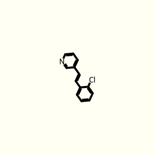 Clc1ccccc1C=Cc1cccnc1